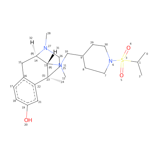 CC(C)S(=O)(=O)N1CCC(CN(C)[C@H]2[C@H]3Cc4ccc(O)cc4[C@]2(C)CCN3C)CC1